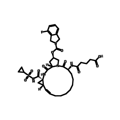 O=C(O)CCCC(=O)N[C@H]1CCCCCCC/C=C\[C@@H]2C[C@@]2(C(=O)NS(=O)(=O)C2CC2)NC(=O)[C@@H]2C[C@@H](OC(=O)N3Cc4cccc(F)c4C3)CN2C1=O